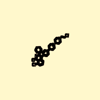 O=c1nc2n(c3cccc(Cl)c13)-c1ccc(C3CCN(C4CCN(CCCl)CC4)CC3)cc1C21CCCCC1